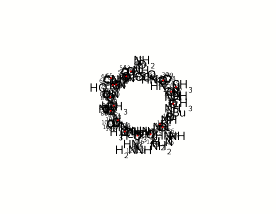 CC[C@H](C)[C@@H]1NC(=O)[C@H]([C@@H](C)O)NC(=O)[C@H](Cc2cncn2C)NC(=O)[C@H](Cc2ccccc2)NC(=O)CSC[C@@H](C(=O)NCC(N)=O)NC(=O)[C@H](Cc2ccccc2)NC(=O)[C@H](Cc2c[nH]c3ccccc23)NC(=O)[C@H](Cc2ccc(O)cc2)NC(=O)[C@H](Cc2cncn2C)NC(=O)[C@H](Cc2ccccc2)NC(=O)C(C)(C)NC(=O)[C@H](CCCNC(=N)N)NC(=O)[C@H](CCCCN)NC(=O)[C@H](CCCNC(=N)N)NC1=O